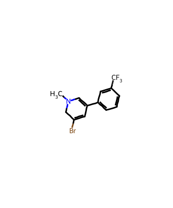 CN1C=C(c2cccc(C(F)(F)F)c2)C=C(Br)C1